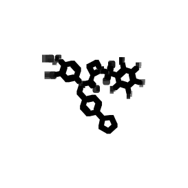 O=C(O)c1ccc(N(Cc2ccc(C3CCCC3)cc2)C(=O)[C@H]2CCN2S(=O)(=O)c2c(F)c(F)c(F)c(F)c2F)cc1O